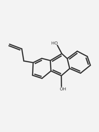 C=CCc1ccc2c(O)c3ccccc3c(O)c2c1